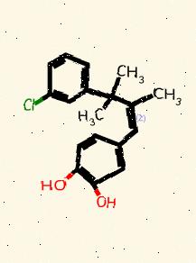 C/C(=C/c1ccc(O)c(O)c1)C(C)(C)c1cccc(Cl)c1